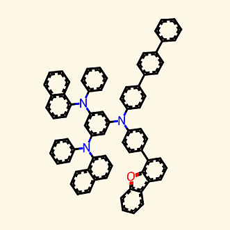 c1ccc(-c2ccc(-c3ccc(N(c4ccc(-c5cccc6c5oc5ccccc56)cc4)c4cc(N(c5ccccc5)c5cccc6ccccc56)cc(N(c5ccccc5)c5cccc6ccccc56)c4)cc3)cc2)cc1